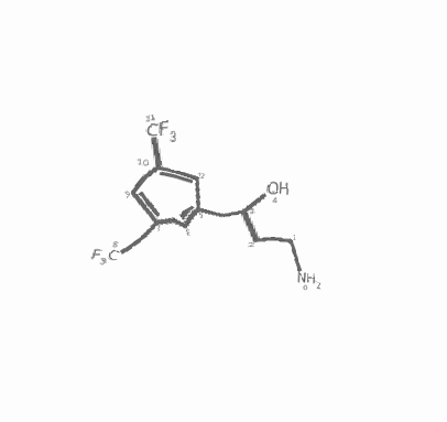 NCCC(O)c1cc(C(F)(F)F)cc(C(F)(F)F)c1